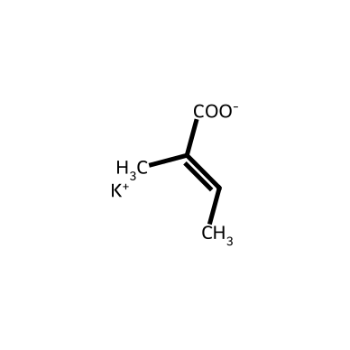 CC=C(C)C(=O)[O-].[K+]